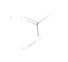 O=C([O-])[O][Os].[K+]